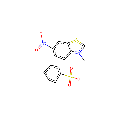 C[n+]1csc2cc([N+](=O)[O-])ccc21.Cc1ccc(S(=O)(=O)[O-])cc1